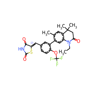 CCN1C(=O)CC(C)(C)c2cc(C)c(-c3cc(/C=C4\SC(=O)NC4=O)ccc3OC(F)(F)F)cc21